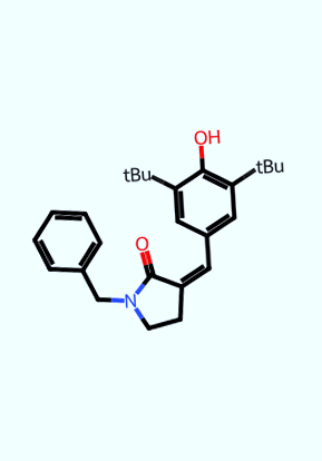 CC(C)(C)c1cc(/C=C2/CCN(Cc3ccccc3)C2=O)cc(C(C)(C)C)c1O